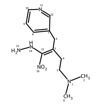 CN(C)CCC(Cc1cccnc1)=C(NN)[N+](=O)[O-]